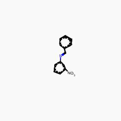 O=[N+]([O-])c1cccc(N=Cc2ccccc2)c1